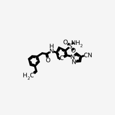 C=Cc1cccc(CC(=O)Nc2ccc(-n3cc(C#N)cn3)c(S(N)(=O)=O)c2)c1